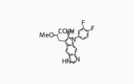 CO[C@H](Cc1c(C(C)C)n(-c2ccc(F)c(F)c2)c2cc3nc[nH]c3cc12)C(=O)O